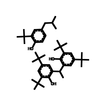 CC(C)Cc1ccc(O)c(C(C)(C)C)c1.CC(c1cc(C(C)(C)C)cc(C(C)(C)C)c1O)c1cc(C(C)(C)C)cc(C(C)(C)C)c1O